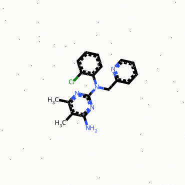 Cc1nc(N(Cc2ccccn2)c2ccccc2Cl)nc(N)c1C